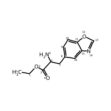 CCOC(=O)C(N)Cc1ccc2ocnc2c1